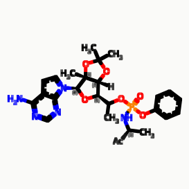 CC(=O)[C@H](C)NP(=O)(Oc1ccccc1)OC(C)[C@H]1O[C@@H](n2ccc3c(N)ncnc32)[C@]2(C)OC(C)(C)O[C@H]12